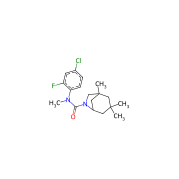 CN(C(=O)N1CC2(C)CC1CC(C)(C)C2)c1ccc(Cl)cc1F